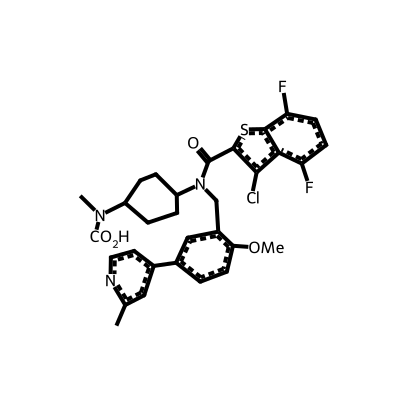 COc1ccc(-c2ccnc(C)c2)cc1CN(C(=O)c1sc2c(F)ccc(F)c2c1Cl)C1CCC(N(C)C(=O)O)CC1